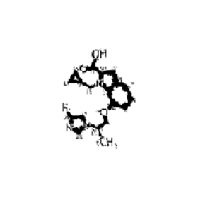 C[C@H](COc1cccc2cc(C(=O)O)n(CC3CC3)c12)n1cnc(F)c1